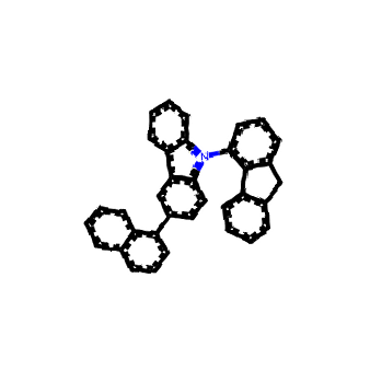 c1ccc2c(c1)Cc1cccc(-n3c4ccccc4c4cc(-c5cccc6ccccc56)ccc43)c1-2